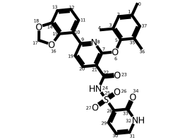 Cc1cc(C)c(Oc2nc(-c3cccc4c3OCO4)ccc2C(=O)NS(=O)(=O)c2ccc[nH]c2=O)c(C)c1